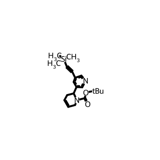 CC(C)(C)OC(=O)N1CC=CCC1c1cncc(C#C[Si](C)(C)C)c1